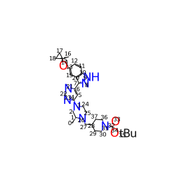 C[C@H]1CN(c2cc(-c3n[nH]c4ccc(OC5(C)CC5)cc34)ncn2)CCN1CC1CCN(C(=O)OC(C)(C)C)CC1